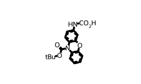 CC(C)(C)OC(=O)N1c2ccccc2Oc2cc(NC(=O)O)ccc21